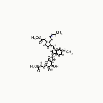 CC/C=C\CC1C(CC(=O)OC)CCC1Cn1cc(C2=NC3C(O2)OC(CNC(C)=O)C(O)C3O)c2ccc(OC)cc21